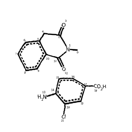 CN1C(=O)Cc2ccccc2C1=O.Nc1ccc(C(=O)O)cc1Cl